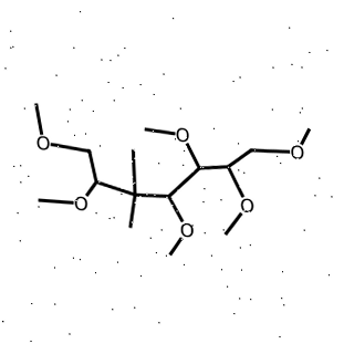 COCC(OC)C(OC)C(OC)C(C)(C)C(COC)OC